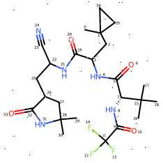 CC1(CC(NC(=O)[C@@H](NC(=O)C(F)(F)F)C(C)(C)C)C(=O)NC(C#N)CC2CC(C)(C)NC2=O)CC1